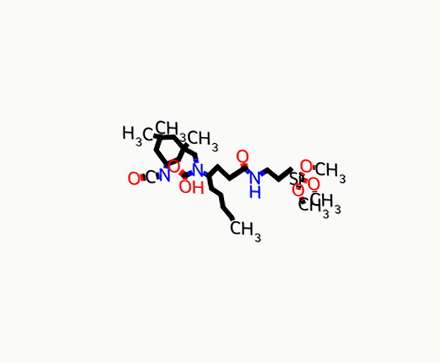 CCCCCC(CCC(=O)NCCC[Si](OC)(OC)OC)N(CC1(C)CC(N=C=O)CC(C)(C)C1)C(=O)O